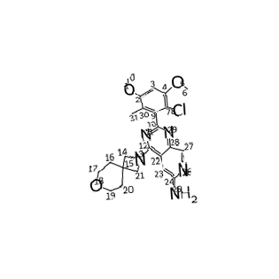 COc1cc(OC)c(Cl)c(-c2nc(N3CC4(CCOCC4)C3)c3cc(N)ncc3n2)c1C